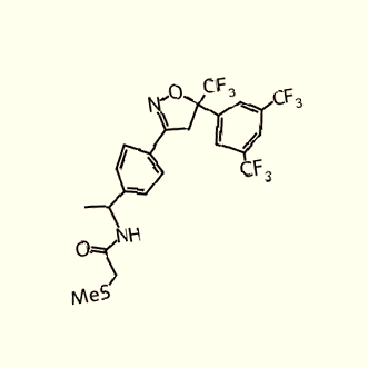 CSCC(=O)NC(C)c1ccc(C2=NOC(c3cc(C(F)(F)F)cc(C(F)(F)F)c3)(C(F)(F)F)C2)cc1